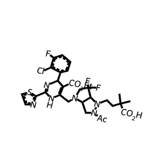 CCOC(=O)C1=C(CN2CC(F)(F)C3C2CN(C(C)=O)N3CCC(C)(C)C(=O)O)NC(c2nccs2)=NC1c1cccc(F)c1Cl